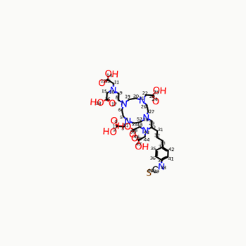 O=C(O)CN1CCN(CCN(CC(=O)O)CC(=O)O)CCN(CC(=O)O)CCN(CC(CCCc2ccc(N=C=S)cc2)N(CC(=O)O)CC(=O)O)CC1